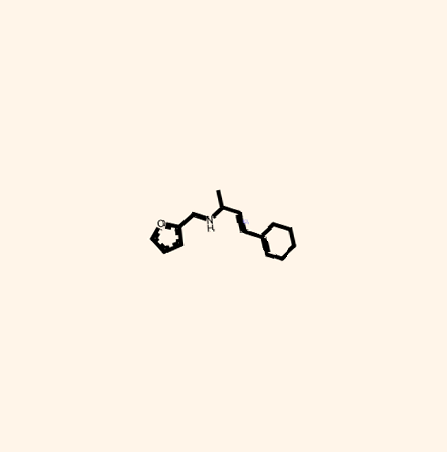 CC(/C=C/C1=CCCCC1)NCc1ccco1